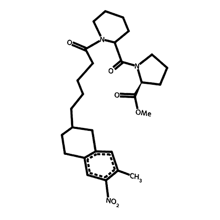 COC(=O)[C@@H]1CCCN1C(=O)C1CCCCN1C(=O)CCCCC1CCc2cc([N+](=O)[O-])c(C)cc2C1